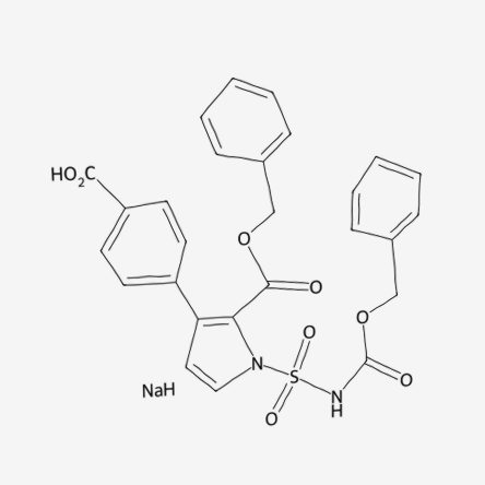 O=C(NS(=O)(=O)n1ccc(-c2ccc(C(=O)O)cc2)c1C(=O)OCc1ccccc1)OCc1ccccc1.[NaH]